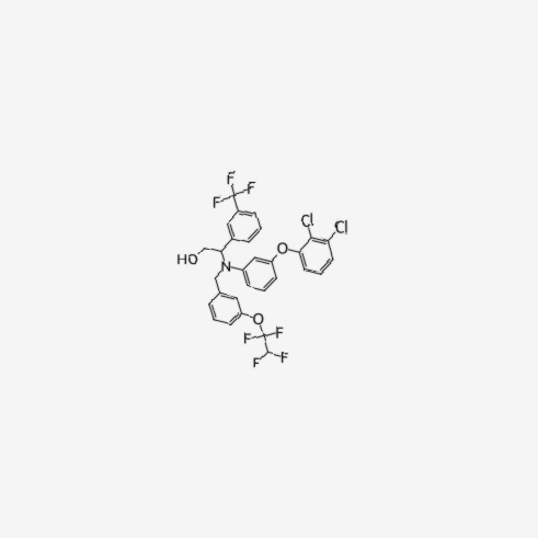 OCC(c1cccc(C(F)(F)F)c1)N(Cc1cccc(OC(F)(F)C(F)F)c1)c1cccc(Oc2cccc(Cl)c2Cl)c1